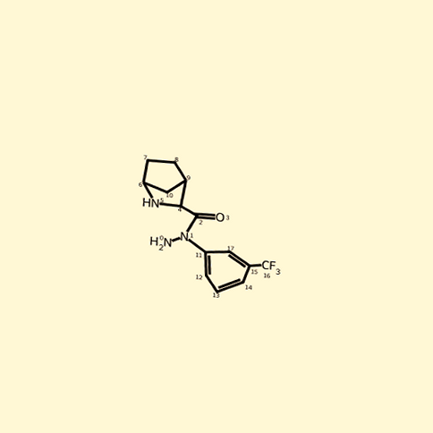 NN(C(=O)C1NC2CCC1C2)c1cccc(C(F)(F)F)c1